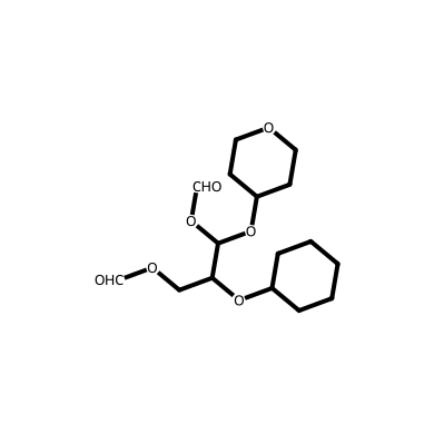 O=COCC(OC1CCCCC1)C(OC=O)OC1CCOCC1